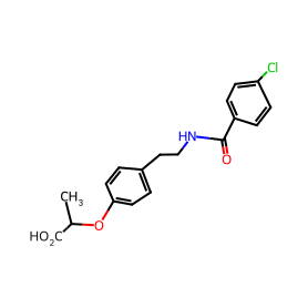 CC(Oc1ccc(CCNC(=O)c2ccc(Cl)cc2)cc1)C(=O)O